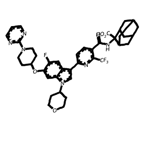 O=C(NC1(C(=O)O)C2CC3CC(C2)CC1C3)c1ccc(-c2cn(C3CCOCC3)c3cc(OC4CCN(c5ncccn5)CC4)c(F)cc23)nc1C(F)(F)F